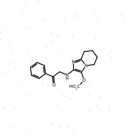 O=C(O)Oc1c(NCC(=O)c2ccccc2)nc2n1CCCC2